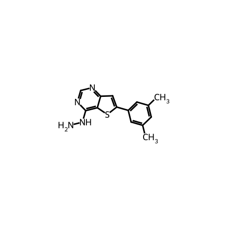 Cc1cc(C)cc(-c2cc3ncnc(NN)c3s2)c1